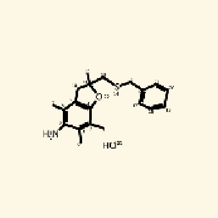 Cc1c(C)c2c(c(C)c1N)CC(C)(CSCc1ccccc1)O2.Cl